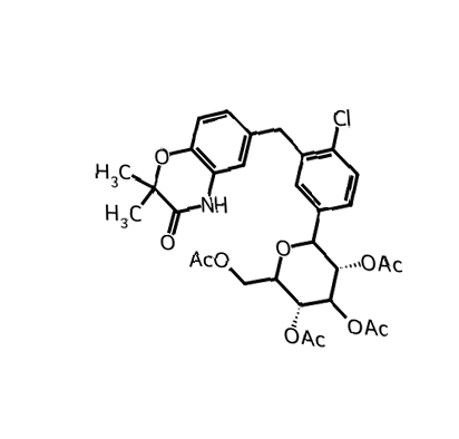 CC(=O)OCC1OC(c2ccc(Cl)c(Cc3ccc4c(c3)NC(=O)C(C)(C)O4)c2)[C@H](OC(C)=O)C(OC(C)=O)[C@@H]1OC(C)=O